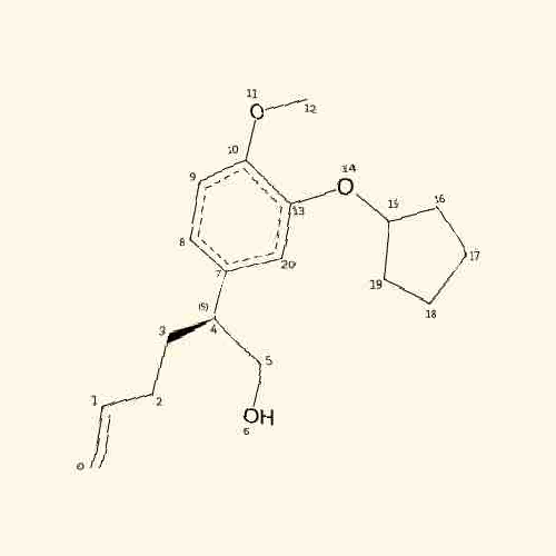 C=CCC[C@H](CO)c1ccc(OC)c(OC2CCCC2)c1